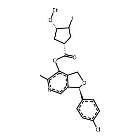 CCO[C@H]1C[C@@H](C(=O)Oc2c(C)ncc3c2CO[C@H]3c2ccc(Cl)cc2)CC1I